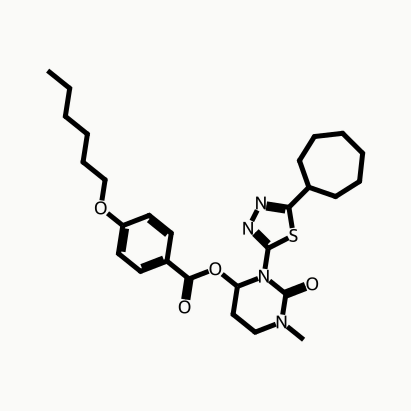 CCCCCCOc1ccc(C(=O)OC2CCN(C)C(=O)N2c2nnc(C3CCCCCC3)s2)cc1